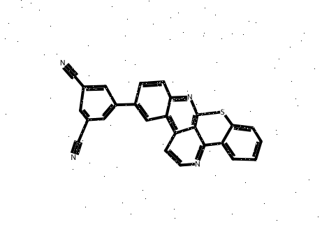 N#Cc1cc(C#N)cc(-c2ccc3nc4c5c(nccc5c3c2)-c2ccccc2S4)c1